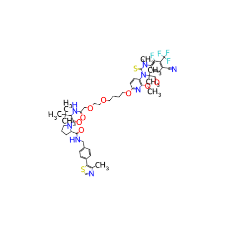 COc1nc(OCCCCOCCOCC(=O)NC(C(=O)N2CCCC2C(=O)NCc2ccc(-c3scnc3C)cc2)C(C)(C)C)ccc1N(C(=S)N(C)c1ccc(C#N)c(C(F)(F)F)c1F)C(C)(C)C=O